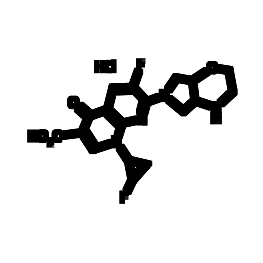 Cl.O=C(O)c1cn(C2CC2F)c2nc(N3CC4NCCOC4C3)c(F)cc2c1=O